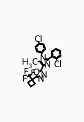 Cc1c(-c2nnc(C3(C(F)(F)F)CCC3)o2)nc(-c2ccccc2Cl)n1-c1ccc(Cl)cc1